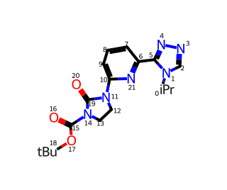 CC(C)n1cnnc1-c1cccc(N2CCN(C(=O)OC(C)(C)C)C2=O)n1